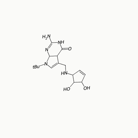 CC(C)(C)N1C=C(CNC2C=CC(O)C2O)C2C(=O)NC(N)=NC21